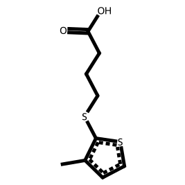 Cc1ccsc1SCCCC(=O)O